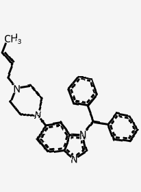 CC=CCN1CCN(c2ccc3ncn(C(c4ccccc4)c4ccccc4)c3c2)CC1